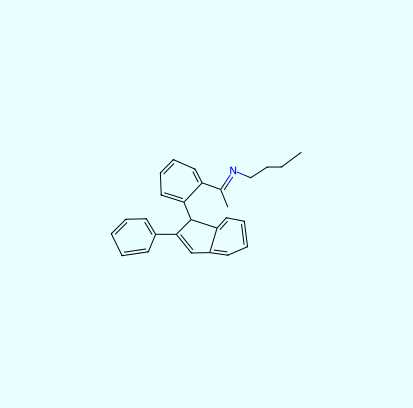 CCCC/N=C(\C)c1ccccc1C1C(c2ccccc2)=Cc2ccccc21